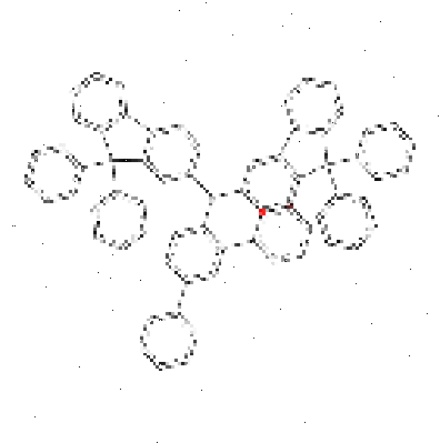 c1ccc(-c2ccc(N(c3ccc4c(c3)-c3ccccc3C4(c3ccccc3)c3ccccc3)c3ccc4c(c3)C(c3ccccc3)(c3ccccc3)c3ccccc3-4)c(-c3ccccc3)c2)cc1